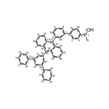 CP(O)c1ccc(-c2cccc(-c3c4ccccc4c(-c4cc(-c5ccccc5)cc(-c5ccccc5)c4)c4ccccc34)c2)cc1